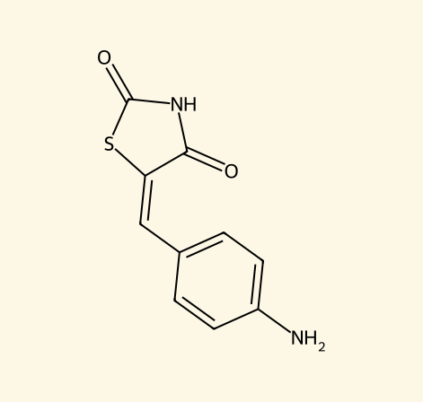 Nc1ccc(C=C2SC(=O)NC2=O)cc1